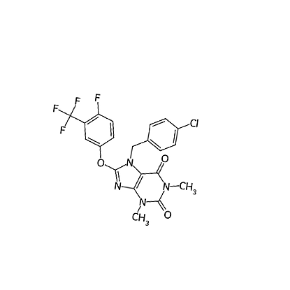 Cn1c(=O)c2c(nc(Oc3ccc(F)c(C(F)(F)F)c3)n2Cc2ccc(Cl)cc2)n(C)c1=O